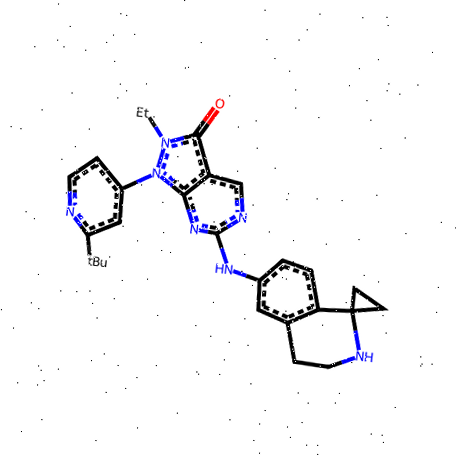 CCn1c(=O)c2cnc(Nc3ccc4c(c3)CCNC43CC3)nc2n1-c1ccnc(C(C)(C)C)c1